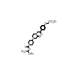 CCOC(=O)COc1ccc(C(=O)CN2CCN(C3CCN(C(=O)OC(C)OC(C)=O)CC3)CC2=O)cc1